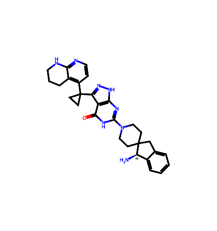 N[C@@H]1c2ccccc2CC12CCN(c1nc3[nH]nc(C4(c5ccnc6c5CCCN6)CC4)c3c(=O)[nH]1)CC2